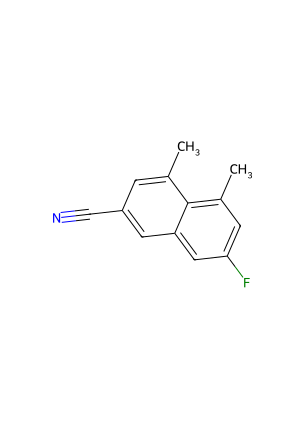 Cc1cc(F)cc2cc(C#N)cc(C)c12